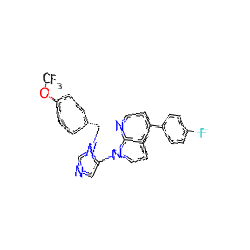 Fc1ccc(-c2ccnc3c2ccn3-c2cncn2Cc2ccc(OC(F)(F)F)cc2)cc1